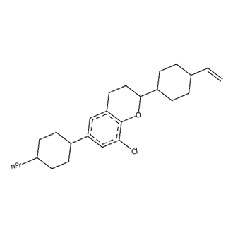 C=CC1CCC(C2CCc3cc(C4CCC(CCC)CC4)cc(Cl)c3O2)CC1